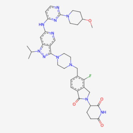 COC1CCN(c2nccc(Nc3cc4c(cn3)c(N3CCN(Cc5ccc6c(c5F)CN(C5CCC(=O)NC5=O)C6=O)CC3)nn4C(C)C)n2)CC1